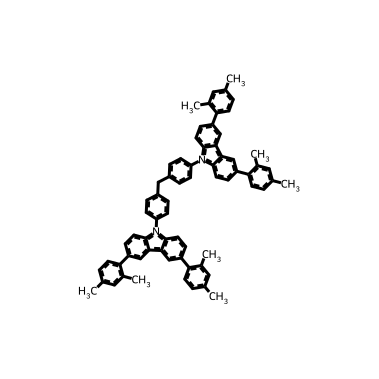 Cc1ccc(-c2ccc3c(c2)c2cc(-c4ccc(C)cc4C)ccc2n3-c2ccc(Cc3ccc(-n4c5ccc(-c6ccc(C)cc6C)cc5c5cc(-c6ccc(C)cc6C)ccc54)cc3)cc2)c(C)c1